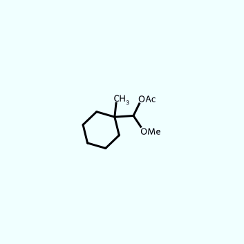 COC(OC(C)=O)C1(C)CCCCC1